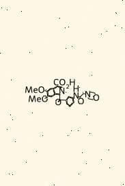 COc1cc2c(C(=O)O)cnc(C(=O)c3cccc(NC(=O)CN4CCOCC4)c3)c2cc1OC